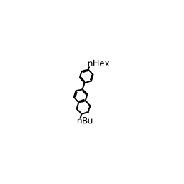 CCCCCCc1ccc(-c2ccc3c(c2)CCC(CCCC)C3)cc1